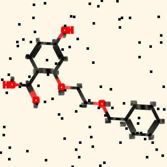 O=C(O)c1ccc(O)cc1OCCOCc1ccccc1